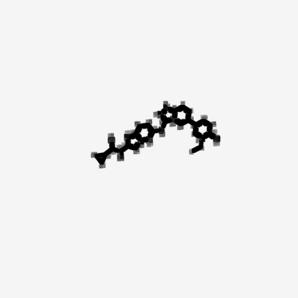 CCn1cc(-c2ccc3nnc(Sc4ccc5nc(NC(=O)C6CC6)cn5n4)n3c2)ccc1=O